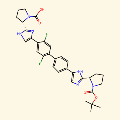 CC(C)(C)OC(=O)N1CCC[C@H]1c1ncc(-c2ccc(-c3cc(F)c(-c4c[nH]c([C@@H]5CCCN5C(=O)O)n4)cc3F)cc2)[nH]1